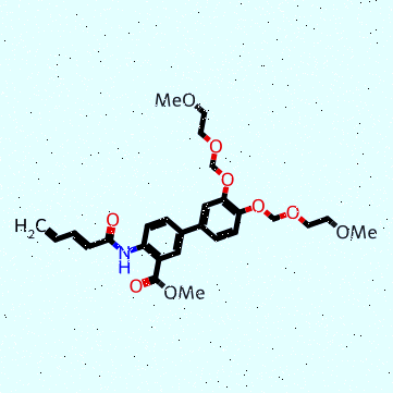 C=CC=CC(=O)Nc1ccc(-c2ccc(OCOCCOC)c(OCOCCOC)c2)cc1C(=O)OC